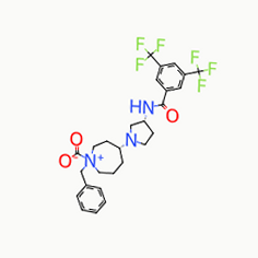 O=C(N[C@@H]1CCN([C@@H]2CCC[N+](Cc3ccccc3)(C(=O)[O-])CC2)C1)c1cc(C(F)(F)F)cc(C(F)(F)F)c1